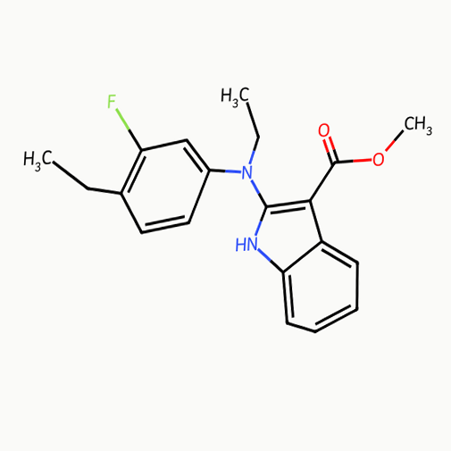 CCc1ccc(N(CC)c2[nH]c3ccccc3c2C(=O)OC)cc1F